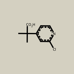 CC(C)(C(=O)O)c1ccnc(Cl)c1